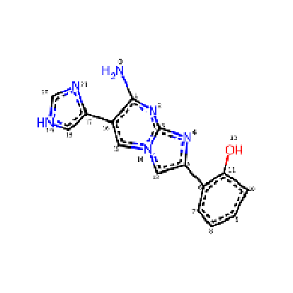 Nc1nc2nc(-c3ccccc3O)cn2cc1-c1c[nH]cn1